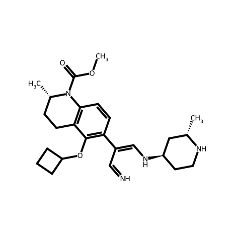 COC(=O)N1c2ccc(/C(C=N)=C/N[C@@H]3CCN[C@@H](C)C3)c(OC3CCC3)c2CC[C@@H]1C